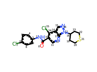 O=C(Nc1ccc(Cl)cc1)c1cnc2c(cnn2C2CCSCC2)c1Cl